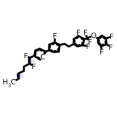 C/C=C/CC/C(F)=C(\F)c1ccc(-c2ccc(CCc3cc(F)c(C(F)(F)Oc4cc(F)c(F)c(F)c4)c(F)c3)c(F)c2)cc1